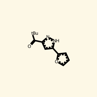 CC(C)(C)C(=O)c1cc(-c2ccco2)[nH]n1